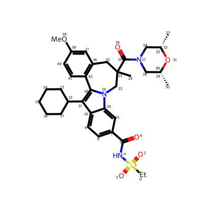 CCS(=O)(=O)NC(=O)c1ccc2c(C3CCCCC3)c3n(c2c1)CC(C)(C(=O)N1C[C@@H](C)O[C@@H](C)C1)Cc1cc(OC)ccc1-3